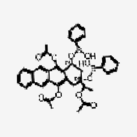 CC(=O)Oc1c2c(c(OC(C)=O)c3cc4ccccc4cc13)[C@@H](OB(O)c1ccccc1)C[C@](OB(O)c1ccccc1)(C(C)OC(C)=O)C2